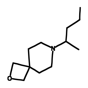 CCCC(C)N1CCC2(CC1)COC2